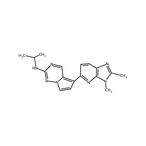 Cc1nc2ccc(-c3ccn4nc(NC(C)C)ncc34)nc2n1C